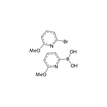 COc1cccc(B(O)O)n1.COc1cccc(Br)n1